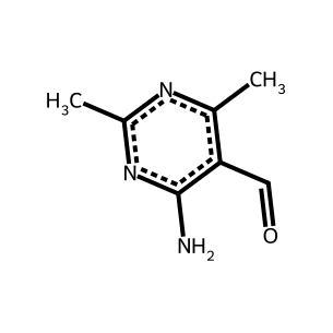 Cc1nc(C)c(C=O)c(N)n1